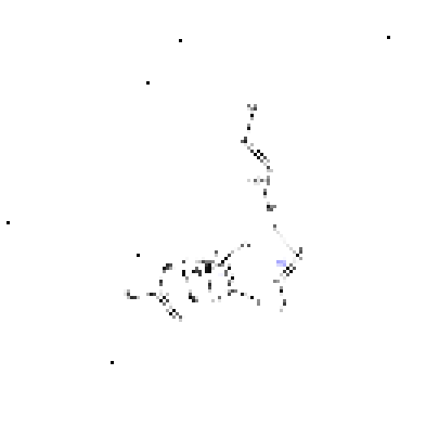 C/C=C/C.C/C=C\C.C=C(C)C.C=CC.CC(C)C.CCC.CCCC